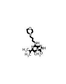 Cc1c(C(C)C)nc(NCCCN2CCOCC2)c2n[nH]c(=O)n12